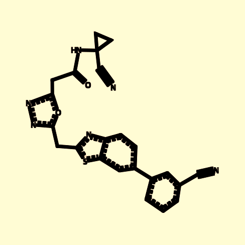 N#Cc1cccc(-c2ccc3nc(Cc4nnc(CC(=O)NC5(C#N)CC5)o4)sc3c2)c1